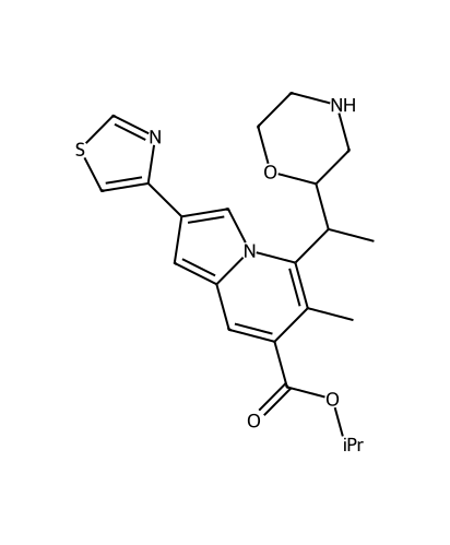 Cc1c(C(=O)OC(C)C)cc2cc(-c3cscn3)cn2c1C(C)C1CNCCO1